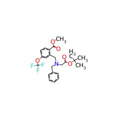 COC(=O)c1ccc(OC(F)(F)F)cc1CN(CC(=O)OC(C)(C)C)Cc1ccccc1